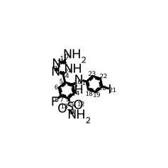 Nc1nnc(-c2cc(F)c(S(N)(=O)=O)cc2Nc2ccc(I)cc2)[nH]1